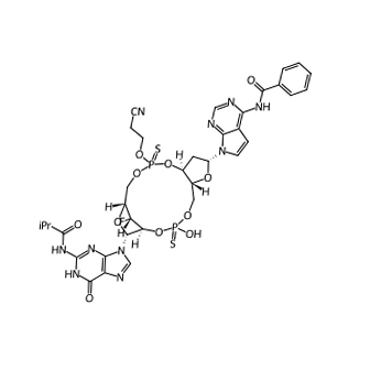 CC(C)C(=O)Nc1nc2c(ncn2[C@@H]2O[C@@H]3COP(=S)(OCCC#N)O[C@H]4C[C@H](n5ccc6c(NC(=O)c7ccccc7)ncnc65)O[C@@H]4COP(O)(=S)O[C@@H]2[C@@H]3F)c(=O)[nH]1